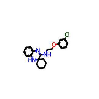 Clc1cccc(OCCNC2=Nc3ccccc3NC23CCCCC3)c1